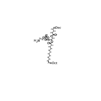 CCCCCCCC/C=C\CCCCCCCCCC(=O)O[C@H](COC(=O)CCCCCCCCCCCCC)COP(=O)(O)OCCN